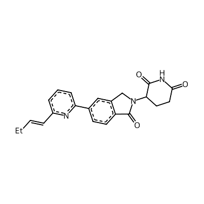 CCC=Cc1cccc(-c2ccc3c(c2)CN(C2CCC(=O)NC2=O)C3=O)n1